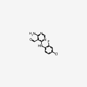 Nc1ncnc(Nc2ccc(Cl)cc2F)c1C=O